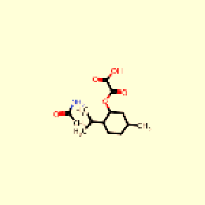 CC(N)=O.CC1CCC(C(C)C)C(OC(=O)C(=O)O)C1